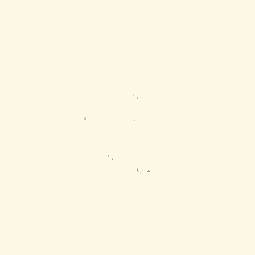 CON=C(C(C)=O)C(=O)N(C)C